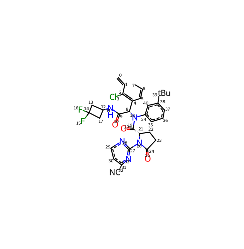 C=C/C(Cl)=C(\C=C/C)[C@@H](C(=O)NC1CC(F)(F)C1)N(C(=O)[C@@H]1CCC(=O)N1c1nccc(C#N)n1)c1cccc(C(C)(C)C)c1